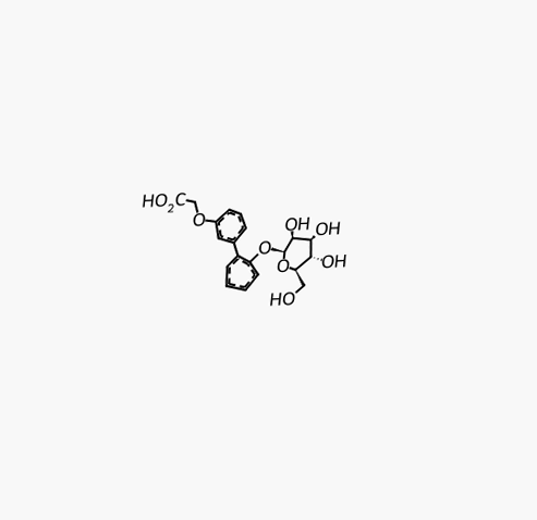 O=C(O)COc1cccc(-c2ccccc2O[C@@H]2O[C@H](CO)[C@@H](O)[C@H](O)[C@@H]2O)c1